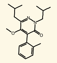 COc1c(CC(C)C)nn(CC(C)C)c(=O)c1-c1ccccc1C